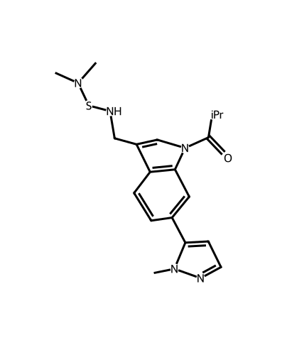 CC(C)C(=O)n1cc(CNSN(C)C)c2ccc(-c3ccnn3C)cc21